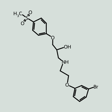 CS(=O)(=O)c1ccc(OCC(O)CNCCOc2cccc(Br)c2)cc1